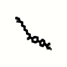 NC(=O)C1CCN(C2CCN(C(=O)CCCCCCCNC=O)CC2)CC1